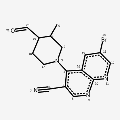 CC1CN(c2c(C#N)cnc3ncc(Br)cc23)CCC1C=O